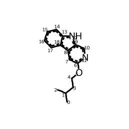 CC(C)CCOc1cc2c(cn1)[nH]c1ccccc12